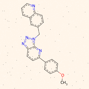 COc1ccc(-c2ccc3nnn(Cc4ccc5ncccc5c4)c3n2)cc1